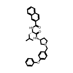 CC(C)C[C@H](NC(=O)c1ccc2ccccc2c1)C(=O)N[C@H]1CCN(Cc2ccc(Oc3ccccc3)cc2)C1